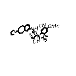 COc1cc(P(C)(C)=O)c(Nc2nc(Nc3ccc4c(c3)CCC(N3CCCC3)CC4)ncc2Cl)cc1C#N